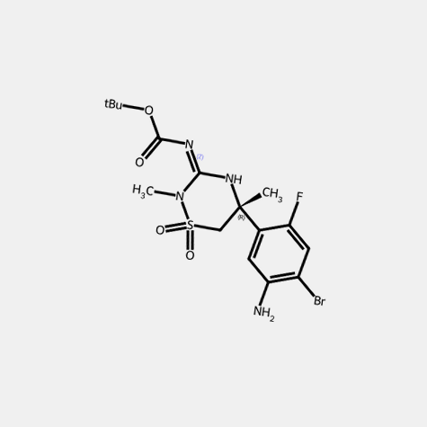 CN1/C(=N\C(=O)OC(C)(C)C)N[C@](C)(c2cc(N)c(Br)cc2F)CS1(=O)=O